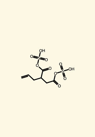 C=CCC(CC(=O)OS(=O)(=O)O)C(=O)OS(=O)(=O)O